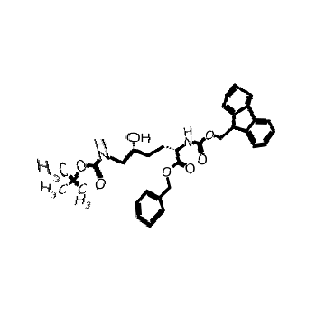 CC(C)(C)OC(=O)NC[C@H](O)CC[C@H](NC(=O)OCC1c2ccccc2-c2ccccc21)C(=O)OCc1ccccc1